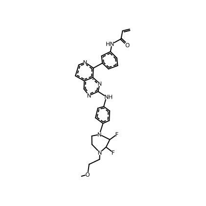 C=CC(=O)Nc1cccc(-c2nccc3cnc(Nc4ccc(N5CCN(CCOC)C(F)C5F)cc4)nc23)c1